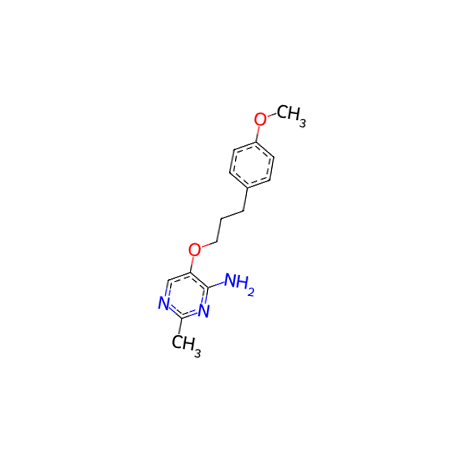 COc1ccc(CCCOc2cnc(C)nc2N)cc1